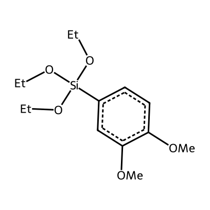 CCO[Si](OCC)(OCC)c1ccc(OC)c(OC)c1